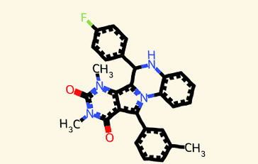 Cc1cccc(-c2c3c(=O)n(C)c(=O)n(C)c3c3n2-c2ccccc2NC3c2ccc(F)cc2)c1